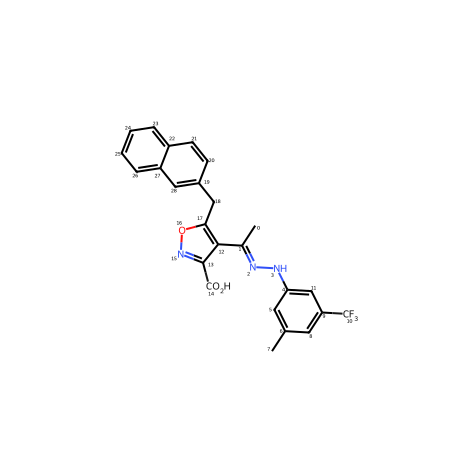 C/C(=N\Nc1cc(C)cc(C(F)(F)F)c1)c1c(C(=O)O)noc1Cc1ccc2ccccc2c1